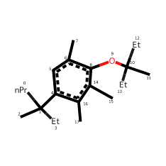 CCCC(C)(CC)c1cc(C)c(OC(C)(CC)CC)c(C)c1C